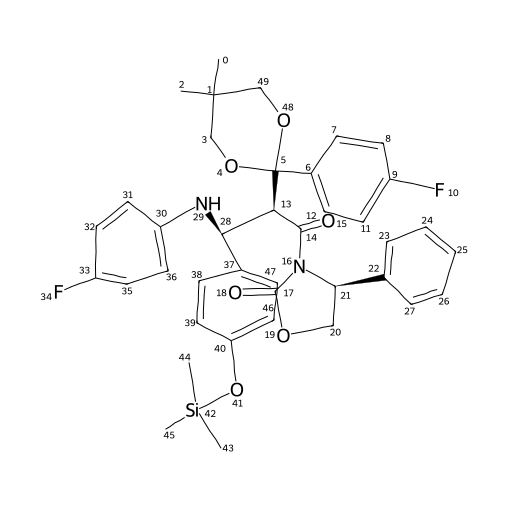 CC1(C)COC(c2ccc(F)cc2)([C@@H](C(=O)N2C(=O)OC[C@@H]2c2ccccc2)[C@H](Nc2ccc(F)cc2)c2ccc(O[Si](C)(C)C)cc2)OC1